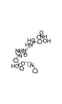 O=C(NCCCNC[C@H](O)c1ccc(O)c2[nH]c(=O)ccc12)c1cncc(-c2cccc(C(O)(COCC3CCN(Cc4ccccc4)CC3)c3ccccc3)c2)n1